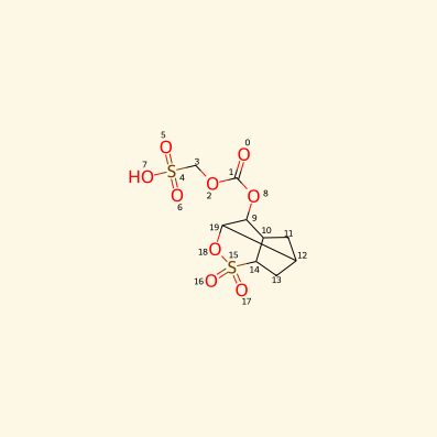 O=C(OCS(=O)(=O)O)OC1C2CC3CC2S(=O)(=O)OC31